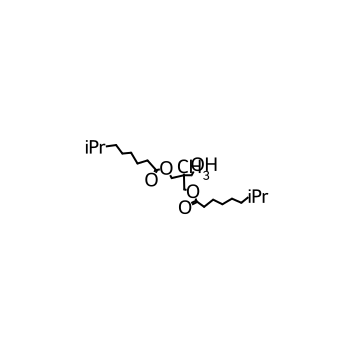 CC(C)CCCCCC(=O)OCC(C)(CO)COC(=O)CCCCCC(C)C